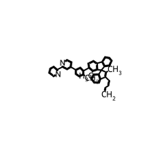 C=C/C=C\C1=C(C)C2(c3ccccc31)c1ccccc1-c1ccc(-c3cc(-c4ccnc(-c5ccccn5)c4)ccc3C)c(C)c12